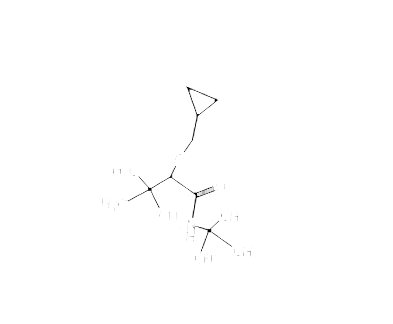 CC(C)(C)NC(=O)C(CCC1CC1)C(C)(C)C